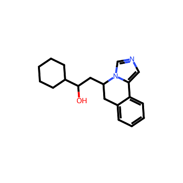 OC(CC1Cc2ccccc2-c2cncn21)C1CCCCC1